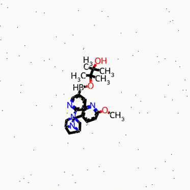 COc1ccc(CN2C3CC2CN(c2ccc(BOC(C)(C)C(C)(C)O)cn2)C3)cn1